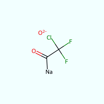 O=[C]([Na])C(F)(F)Cl.[O-2]